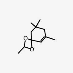 CC1=CC2(CC(C)(C)C1)OC(C)O2